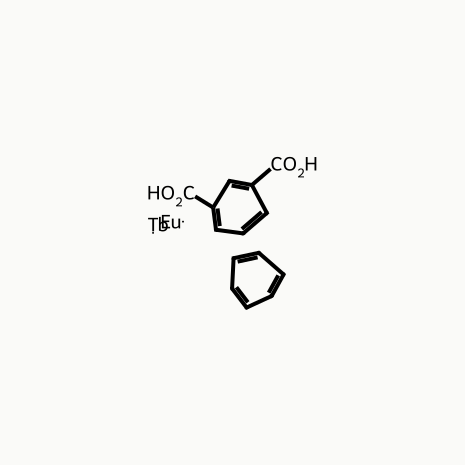 O=C(O)c1cccc(C(=O)O)c1.[Eu].[Tb].c1ccccc1